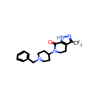 O=C1c2[nH]nc(C(F)(F)F)c2CCN1C1CCN(Cc2ccccc2)CC1